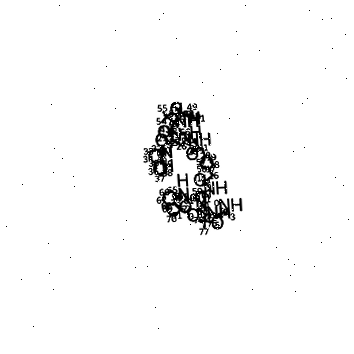 CN[C@@H](C)C(=O)N[C@H](C(=O)N1C[C@@H](NC(=O)Cc2ccc(CC(=O)N[C@H]3C[C@@H](C(=O)N[C@@H]4CCCc5ccccc54)N(C(=O)[C@@H](NC(=O)[C@H](C)NC)C(C)(C)C)C3)cc2)C[C@H]1C(=O)N[C@@H]1CCCc2ccccc21)C(C)(C)C